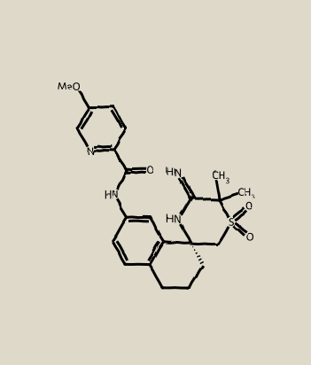 COc1ccc(C(=O)Nc2ccc3c(c2)[C@]2(CCC3)CS(=O)(=O)C(C)(C)C(=N)N2)nc1